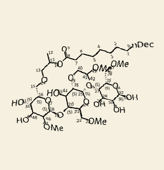 CCCCCCCCCCCCCCCCCC(=O)OC(C)COC[C@@H]1O[C@@H](O[C@@H]2C(COC)O[C@@H](O[C@H]3C(O)C(O)[C@H](O)O[C@H]3COC)[C@@H](OCC(C)OC)C2O)C(OC)C(O)[C@@H]1O